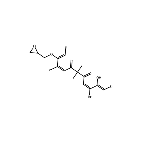 C=C(/C=C(Br)\C(O)=C\Br)C(C)(C)C(=C)/C=C(Br)\C(=C\Br)OCC1CO1